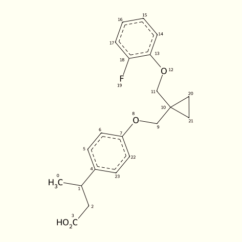 CC(CC(=O)O)c1ccc(OCC2(COc3ccccc3F)CC2)cc1